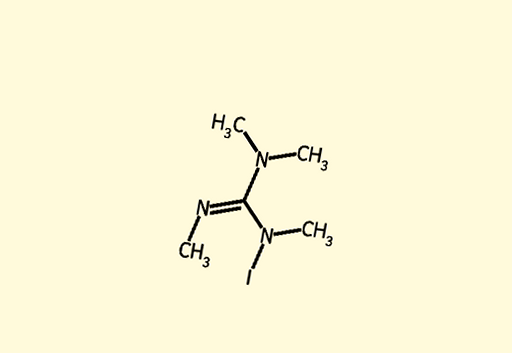 CN=C(N(C)C)N(C)I